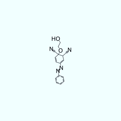 N#CC1C=C(N=Nc2ccccc2)C=CC1(C#N)OCCO